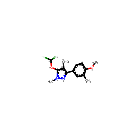 Cc1cc(-c2nn(C)c(OC(F)F)c2C=O)ccc1OC(C)C